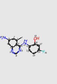 Cc1cc(N)cc2ncnc(Nc3ccc(F)cc3O)c12